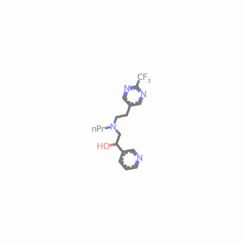 CCCN(CCc1cnc(C(F)(F)F)nc1)CC(O)c1cccnc1